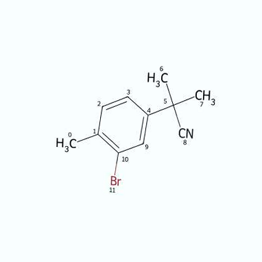 Cc1ccc(C(C)(C)C#N)cc1Br